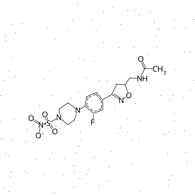 CC(=O)NCC1CC(c2ccc(N3CCN(S(=O)(=O)[N+](=O)[O-])CC3)c(F)c2)=NO1